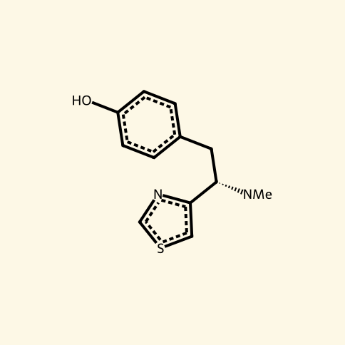 CN[C@@H](Cc1ccc(O)cc1)c1cscn1